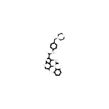 N#Cc1cnc2sc(C(=O)Nc3ccc(CN4CCOCC4)cc3)c3c2c1N(c1ccccc1Cl)C(=O)N3